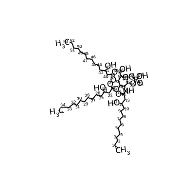 CCCCCCCCCCC[C@@H](O)CC(=O)NC1C(OC(=O)C[C@H](O)CCCCCCCCCCC)[C@H](OC(=O)C[C@H](O)CCCCCCCCCCC)C(CO)O[C@H]1OP(=O)(O)O